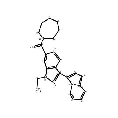 O=C(c1cc2c(cn1)c(-c1cnc3ccccn13)nn2CC(F)(F)F)N1CCCCCC1